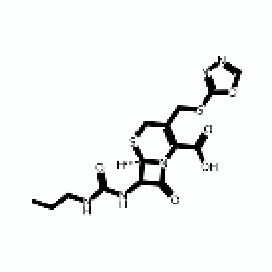 CCCNC(=O)NC1C(=O)N2C(C(=O)O)=C(CSc3nnco3)CS[C@H]12